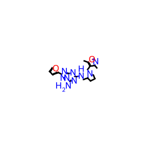 Cc1noc(C)c1CN1CCCC1CNc1nc(N)n2nc(-c3ccco3)nc2n1